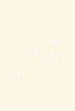 CCN1c2nc(-c3ccc(Cl)nc3)[nH]c2C(=O)NC1O